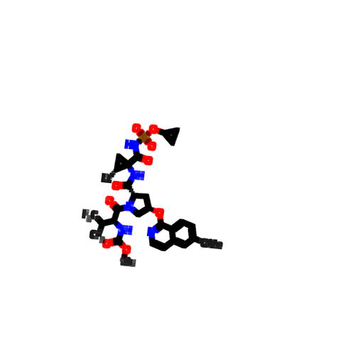 CC[C@@H]1C[C@]1(NC(=O)[C@@H]1C[C@@H](Oc2nccc3cc(OC)ccc23)CN1C(=O)[C@@H](NC(=O)OC(C)(C)C)C(C(F)(F)F)C(F)(F)F)C(=O)NS(=O)(=O)OC1CC1